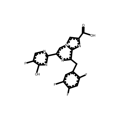 O=C(O)c1cn2cc(-c3ncc(F)c(O)n3)nc(Cc3cc(F)c(F)cc3F)c2n1